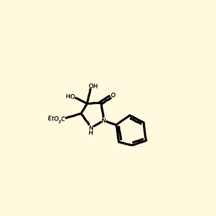 CCOC(=O)C1NN(c2ccccc2)C(=O)C1(O)O